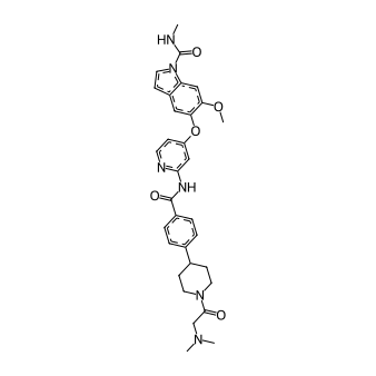 CNC(=O)n1ccc2cc(Oc3ccnc(NC(=O)c4ccc(C5CCN(C(=O)CN(C)C)CC5)cc4)c3)c(OC)cc21